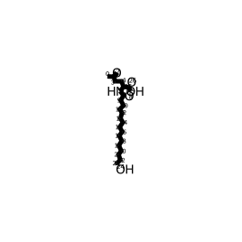 CC(=O)CCC(NC(=O)CCCCCCCCCCCCCCCO)C(=O)O